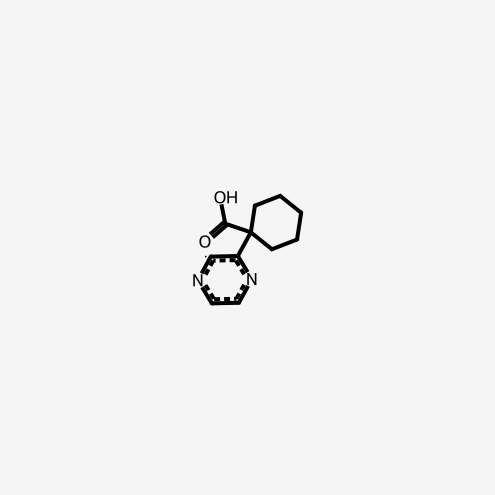 O=C(O)C1(c2[c]nccn2)CCCCC1